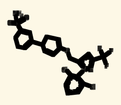 NS(=O)(=O)C1=CC(C2C=CC(OCc3cc(C(F)(F)F)nn3-c3c(Cl)cccc3Cl)=CC2)=CCC1